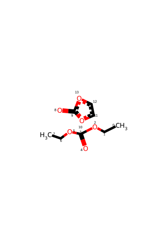 CCOC(=O)OCC.O=c1occo1